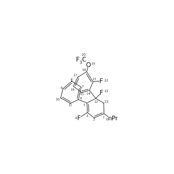 CCCC1=CC(F)=C(c2ccccc2)C(F)(c2cccc(OC(F)(F)F)c2F)C1